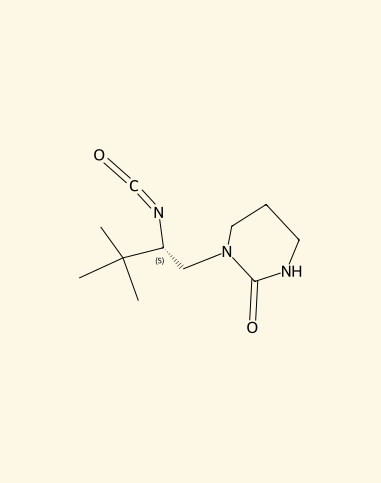 CC(C)(C)[C@@H](CN1CCCNC1=O)N=C=O